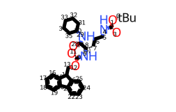 CC(C)(C)OC(=O)NCCC[C@H](NC(=O)OCC1c2ccccc2-c2ccccc21)C(=O)NC1CCCCC1